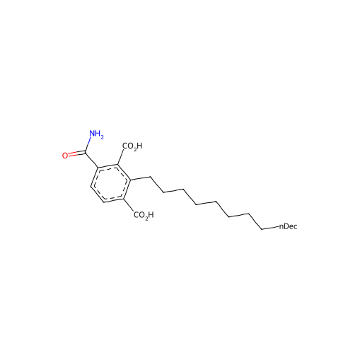 CCCCCCCCCCCCCCCCCCc1c(C(=O)O)ccc(C(N)=O)c1C(=O)O